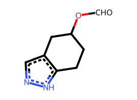 O=COC1CCc2[nH]ncc2C1